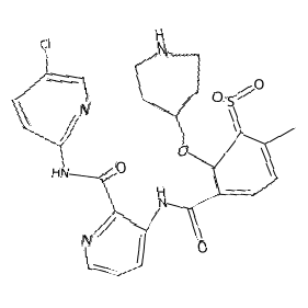 CC1=CC=C(C(=O)Nc2cccnc2C(=O)Nc2ccc(Cl)cn2)C(OC2CCNCC2)C1=S(=O)=O